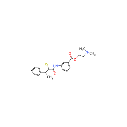 CC(c1ccccc1)C(S)C(=O)Nc1cccc(C(=O)OCCN(C)C)c1